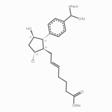 CCCCCC(OC(C)=O)c1ccc([C@@H]2[C@@H](CC=CCCCC(=O)OC)[C@H](Cl)C[C@H]2O)cc1